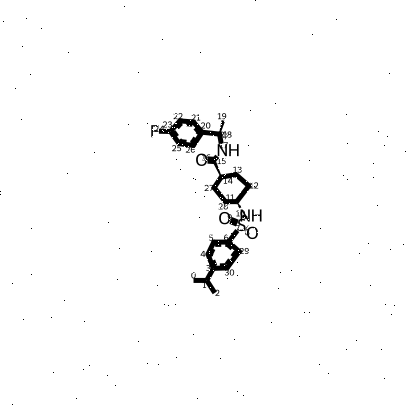 CC(C)c1ccc(S(=O)(=O)N[C@H]2CC[C@H](C(=O)N[C@H](C)c3ccc(F)cc3)CC2)cc1